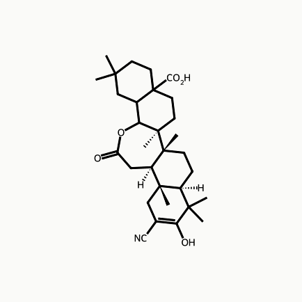 CC1(C)CCC2(C(=O)O)CC[C@]3(C)C(OC(=O)C[C@@H]4[C@@]5(C)CC(C#N)=C(O)C(C)(C)[C@@H]5CC[C@]43C)C2C1